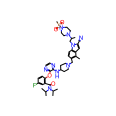 Cc1c(CN2CCC(Nc3nccnc3Oc3ccc(F)cc3C(=O)N(C(C)C)C(C)C)CC2)ccc2c1cc(C#N)n2CC(C)N1CCN(S(C)(=O)=O)CC1